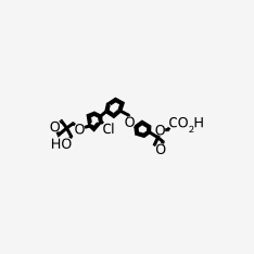 O=C(O)COC1(c2ccc(OCc3cccc(-c4ccc(OCC5(CO)COC5)cc4Cl)c3)cc2)COC1